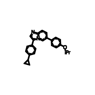 CC(C)Oc1ccc(-c2ccc3ncc(-c4ccc(C5CC5)cc4)n3c2)cc1